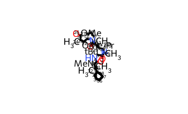 CN[C@H](C(=O)N[C@H](C(=O)N(C)[C@H](/C=C(\C)C(=O)N1CCC[C@H]1[C@H](OC)[C@@H](C)C(=O)OC)C(C)C)C(C)(C)C)C(C)(C)c1ccccc1